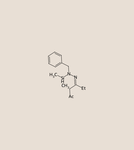 CCC(CC(C)=O)=NN(Cc1ccccc1)[SiH](C)C